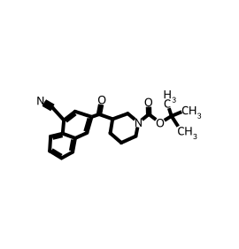 CC(C)(C)OC(=O)N1CCCC(C(=O)c2cc(C#N)c3ccccc3c2)C1